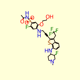 CC(=O)NS(=O)(=O)c1cc(OCCO)c(NCC#Cc2sc3c(NC4CCN(C)CC4F)cccc3c2CC(F)(F)F)cc1F